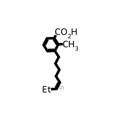 CC/C=C\CCCCc1cccc(C(=O)O)c1C